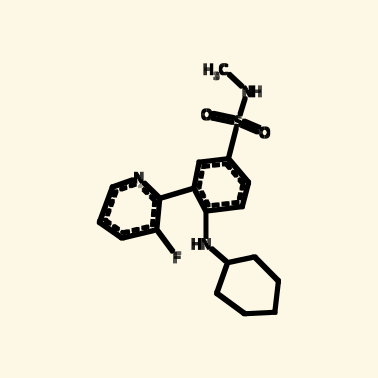 CNS(=O)(=O)c1ccc(NC2CCCCC2)c(-c2ncccc2F)c1